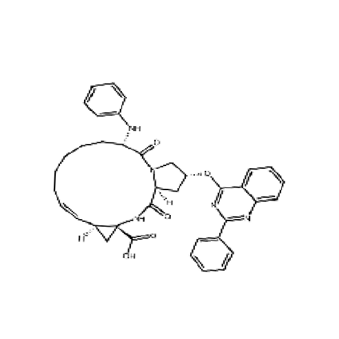 O=C1N[C@]2(C(=O)O)C[C@H]2/C=C\CCCCC[C@H](Nc2ccccc2)C(=O)N2C[C@H](Oc3nc(-c4ccccc4)nc4ccccc34)C[C@@H]12